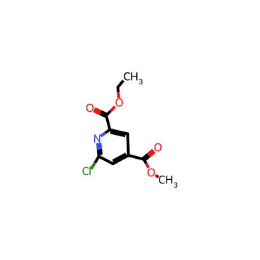 CCOC(=O)c1cc(C(=O)OC)cc(Cl)n1